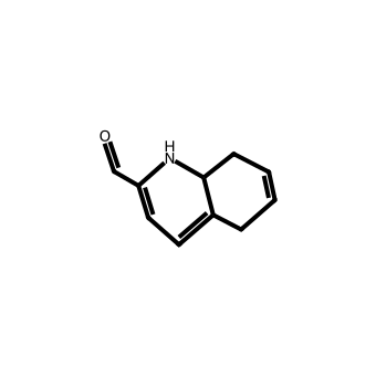 O=CC1=CC=C2CC=CCC2N1